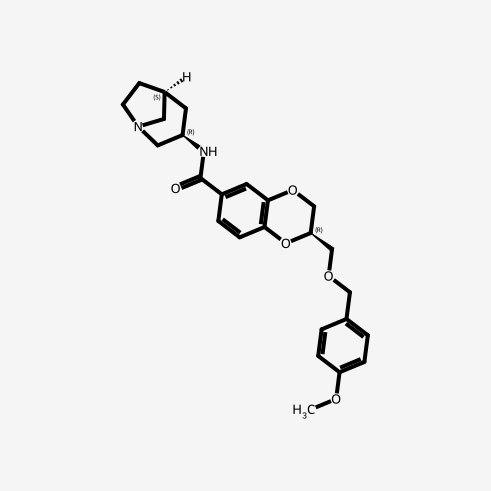 COc1ccc(COC[C@@H]2COc3cc(C(=O)N[C@@H]4C[C@@H]5CCN(C5)C4)ccc3O2)cc1